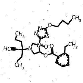 C#CC(CCC)(CCC)N1CC(OC(=O)c2ccccc2CC)[N+]([O-])(c2nnc(OCCCC)s2)C1